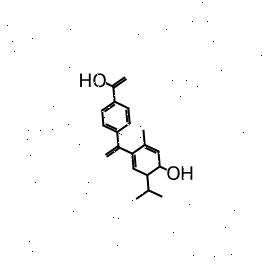 C=C(O)c1ccc(C(=C)C2=CC(C(C)C)C(O)C=C2C)cc1